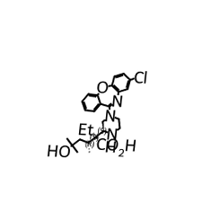 CC[C@](C(=O)O)([C@H](C)CC(C)(C)O)[C@H]1CN(C2=Nc3cc(Cl)ccc3Oc3ccccc32)CCN1